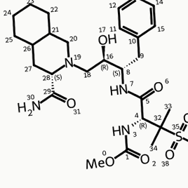 COC(=O)N[C@H](C(=O)N[C@@H](Cc1ccccc1)[C@H](O)CN1CC2CCCCC2C[C@H]1C(N)=O)C(C)(C)S(C)(=O)=O